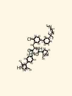 CN=[N+]=NC(C)(C)c1cccc(-c2ccc(Cl)c(CC(NC(=O)c3ccnn3C)C(=O)Nc3ccc(-c4c(C)n[nH]c4C)cc3)c2)c1